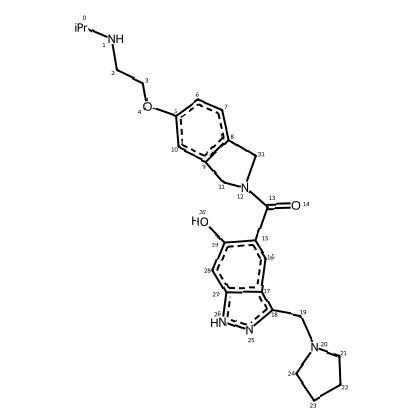 CC(C)NCCOc1ccc2c(c1)CN(C(=O)c1cc3c(CN4CCCC4)n[nH]c3cc1O)C2